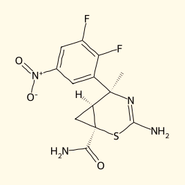 C[C@]1(c2cc([N+](=O)[O-])cc(F)c2F)N=C(N)S[C@@]2(C(N)=O)C[C@H]21